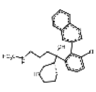 O=C(O)NCCC[C@@](O)(c1cccc(Cl)c1-c1cnc2ccccc2c1)[C@@H]1CCCNC1